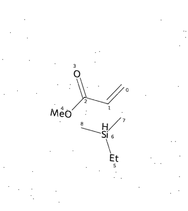 C=CC(=O)OC.CC[SiH](C)C